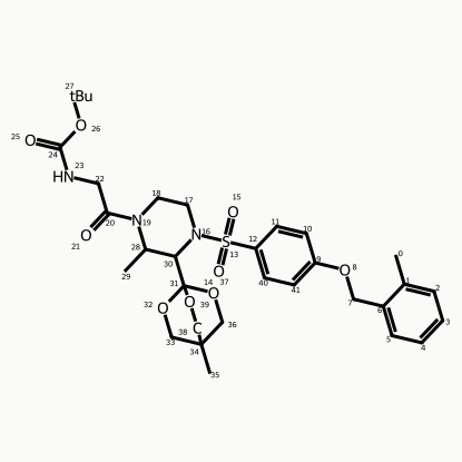 Cc1ccccc1COc1ccc(S(=O)(=O)N2CCN(C(=O)CNC(=O)OC(C)(C)C)C(C)C2C23OCC(C)(CO2)CO3)cc1